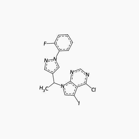 CC(c1cnn(-c2ccccc2F)c1)n1cc(I)c2c(Cl)ncnc21